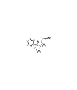 CO[Si](OC)(OCCC#N)c1ccccc1